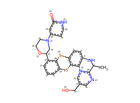 CC(Nc1ccc2c(c1)Sc1cccc(C3CN(c4cc[nH]c(=O)c4)CCO3)c1S2)c1ncc(CO)cn1